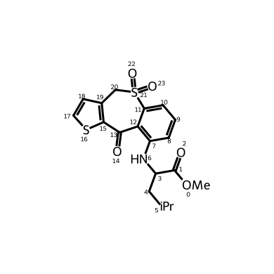 COC(=O)C(CC(C)C)Nc1cccc2c1C(=O)c1sccc1CS2(=O)=O